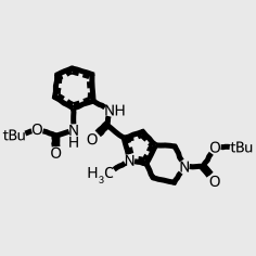 Cn1c(C(=O)Nc2ccccc2NC(=O)OC(C)(C)C)cc2c1CCN(C(=O)OC(C)(C)C)C2